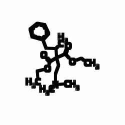 CCOC(=O)C(CCN(C)C)(C(=O)OCC)C(C)Cc1ccccc1